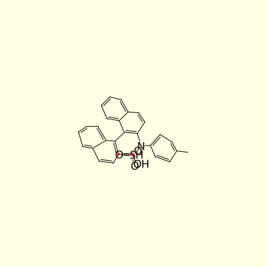 Cc1ccc(N(c2ccc3ccccc3c2-c2c(C(=O)O)ccc3ccccc23)[SH](=O)=O)cc1